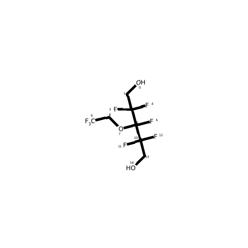 OCC(F)(F)C(F)(OCC(F)(F)F)C(F)(F)CO